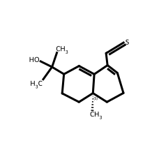 CC(C)(O)C1C=C2C(C=S)=CCC[C@@]2(C)CC1